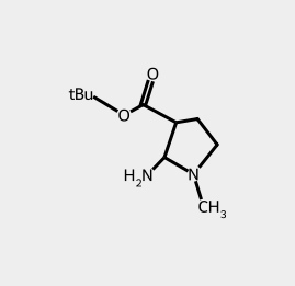 CN1CCC(C(=O)OC(C)(C)C)C1N